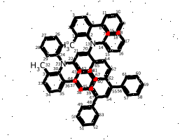 Cc1cccc(-c2ccccc2)c1N(c1ccccc1)c1cc(N(c2ccccc2)c2c(C)cccc2-c2ccccc2)c2ccc3c(-c4ccccc4)cc(-c4ccccc4)c4ccc1c2c43